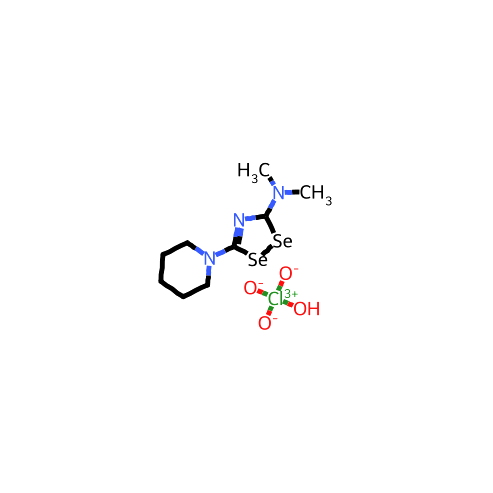 CN(C)C1N=C(N2CCCCC2)[Se][Se]1.[O-][Cl+3]([O-])([O-])O